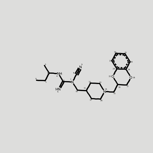 CCC(C)NC(=N)N(C#N)CC1CCN(CC2COc3ccccc3O2)CC1